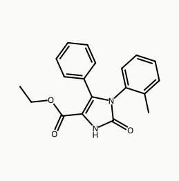 CCOC(=O)c1[nH]c(=O)n(-c2ccccc2C)c1-c1ccccc1